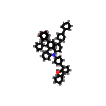 c1ccc(-c2ccc(-c3ccc(N(c4ccc(-c5cccc6c5oc5ccccc56)cc4)c4ccccc4-c4cccc(-c5ccccc5)c4-c4ccccc4-c4ccccc4)cc3)cc2)cc1